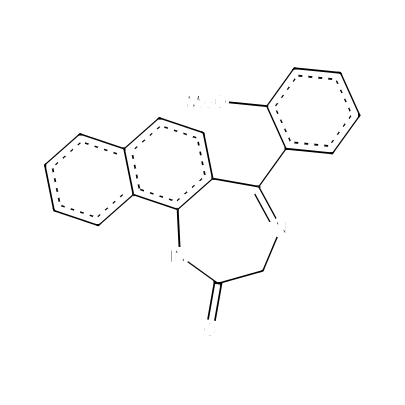 COc1ccccc1C1=NCC(=O)Nc2c1ccc1ccccc21